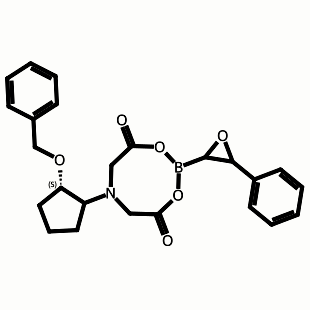 O=C1CN(C2CCC[C@@H]2OCc2ccccc2)CC(=O)OB(C2OC2c2ccccc2)O1